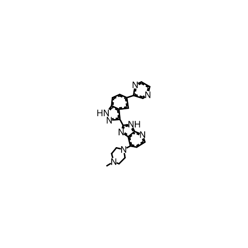 CN1CCN(c2ccnc3[nH]c(-c4n[nH]c5ccc(-c6cnccn6)cc45)nc23)CC1